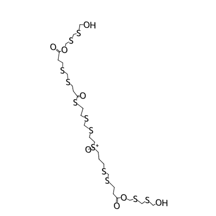 O=C(CCSCSCCC[S+]([O-])CCSCSCCSC(=O)CCSCSCCC(=O)OCSCSCO)OCSCSCO